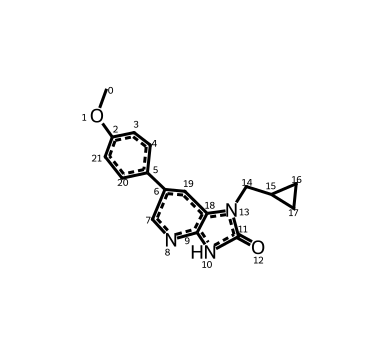 COc1ccc(-c2cnc3[nH]c(=O)n(CC4CC4)c3c2)cc1